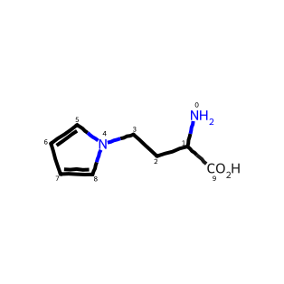 NC(CCn1cccc1)C(=O)O